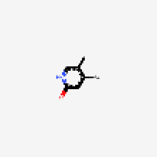 CC(=O)c1[c]c(=O)[nH]cc1C